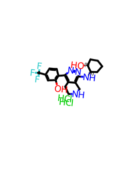 Cl.Cl.Oc1cc(C(F)(F)F)ccc1-c1nnc(N[C@@H]2CCCC[C@H]2O)c2c1CCNC2